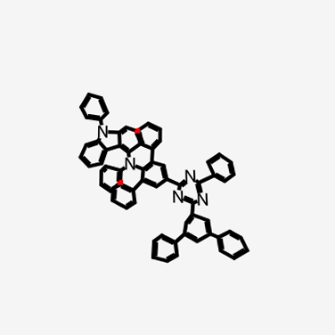 c1ccc(-c2cc(-c3ccccc3)cc(-c3nc(-c4ccccc4)nc(-c4cc(-c5ccccc5)c(N(c5ccccc5)c5cccc6c5c5ccccc5n6-c5ccccc5)c(-c5ccccc5)c4)n3)c2)cc1